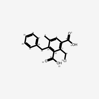 Cc1cc(C(=O)O)c(CCl)c(C(=O)O)c1Cc1ccccc1